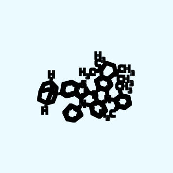 Cc1cccc(C)c1N1c2cc3c(cc2B2c4sc5ccc([C@]67CC8C[C@@H](C[C@H](C8)C6)C7)cc5c4N(c4ccccc4)c4cccc1c42)C(C)(C)CCC3(C)C